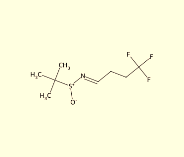 CC(C)(C)[S+]([O-])/N=C/CCC(F)(F)F